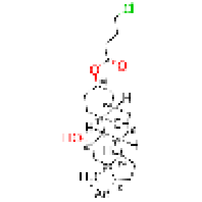 CC(=O)[C@H]1CC[C@H]2[C@@H]3CC[C@H]4C[C@H](OC(=O)CCCCl)CC[C@]4(C)[C@H]3[C@@H](O)C[C@]12C